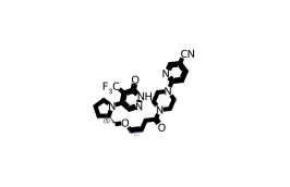 N#Cc1ccc(N2CCN(C(=O)C/C=C\OC[C@@H]3CCCN3c3cn[nH]c(=O)c3C(F)(F)F)CC2)nc1